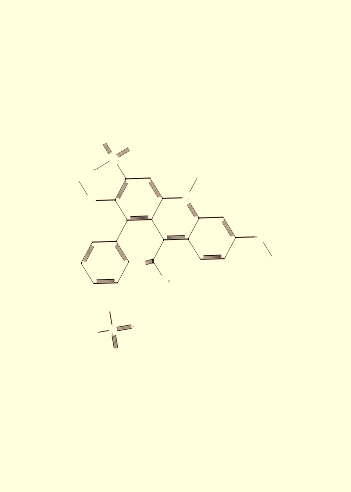 COc1ccc2c(C(=O)O)c3c(-c4ccccc4)c(OC)c(S(=O)(=O)Cl)cc3[n+](C)c2c1.O=S(=O)([O-])F